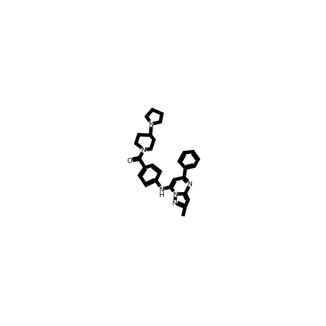 Cc1cc2nc(-c3ccccc3)cc(Nc3ccc(C(=O)N4CCC(N5CCCC5)CC4)cc3)n2n1